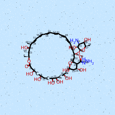 C[C@@H]1OC(=O)CC(O)CC(O)CCC(O)C(O)CC(O)CC2(O)C[C@H](O)C(C(=O)NN)[C@H](CC(O[C@@H]3O[C@H](C)C(O)[C@H](N)[C@@H]3O)/C=C/C=C/C=C/C=C/C=C/C=C/C=C/[C@H](C)C(O)[C@H]1C)O2